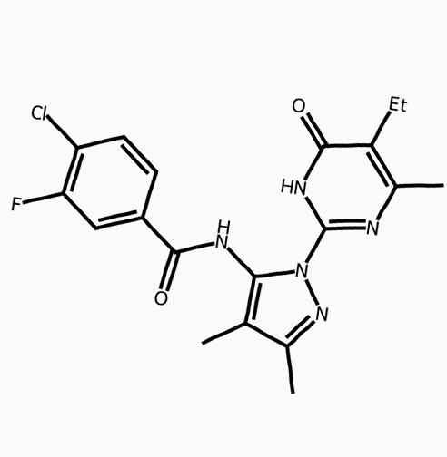 CCc1c(C)nc(-n2nc(C)c(C)c2NC(=O)c2ccc(Cl)c(F)c2)[nH]c1=O